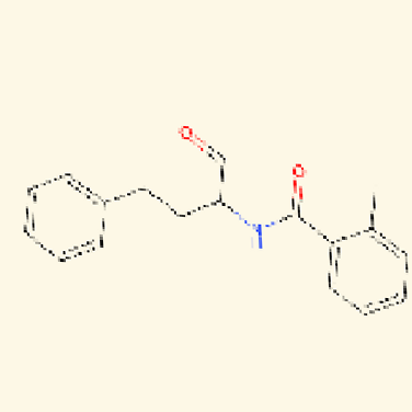 Cc1ccccc1C(=O)NC(C=O)CCc1ccccc1